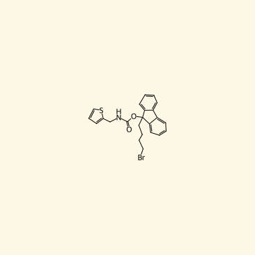 O=C(NCc1cccs1)OC1(CCCCBr)c2ccccc2-c2ccccc21